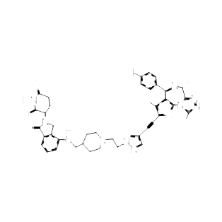 Cc1c(C#Cc2cnn(CCN3CCC(CNc4cccc5c4CN(C4CCC(=O)NC4=O)C5=O)CC3)c2)sc2c1C(c1ccc(Cl)cc1)=N[C@@H](C)c1nnc(C)n1-2